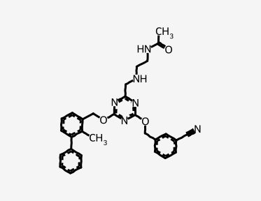 CC(=O)NCCNCc1nc(OCc2cccc(C#N)c2)nc(OCc2cccc(-c3ccccc3)c2C)n1